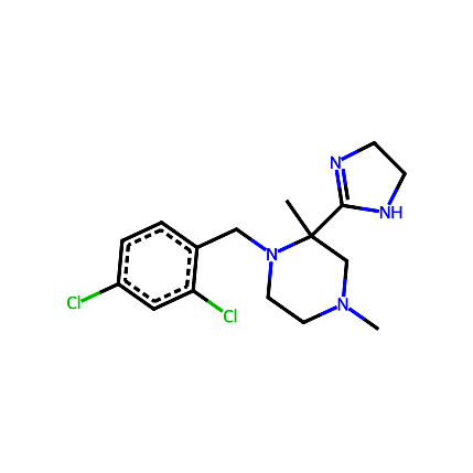 CN1CCN(Cc2ccc(Cl)cc2Cl)C(C)(C2=NCCN2)C1